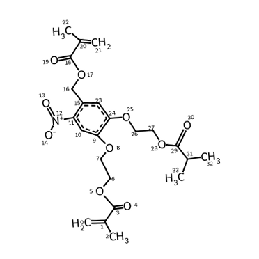 C=C(C)C(=O)OCCOc1cc([N+](=O)[O-])c(COC(=O)C(=C)C)cc1OCCOC(=O)C(C)C